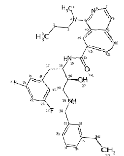 CCCN(C)c1nccc2ccc(C(=O)N[C@@H](Cc3cc(F)cc(F)c3)[C@@H](O)CNCc3cccc(CC)c3)cc12